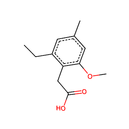 CCc1cc(C)cc(OC)c1CC(=O)O